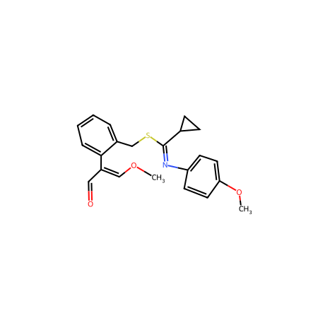 CO/C=C(/C=O)c1ccccc1CSC(=Nc1ccc(OC)cc1)C1CC1